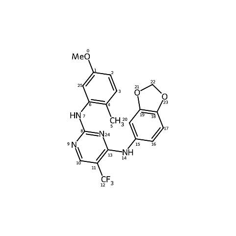 COc1ccc(C)c(Nc2ncc(C(F)(F)F)c(Nc3ccc4c(c3)OCO4)n2)c1